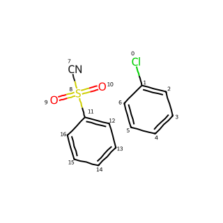 Clc1ccccc1.N#CS(=O)(=O)c1ccccc1